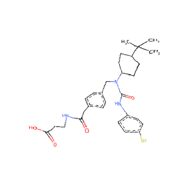 CC(C)(C)C1CCC(N(Cc2ccc(C(=O)NCCC(=O)O)cc2)C(=O)Nc2ccc(S)cc2)CC1